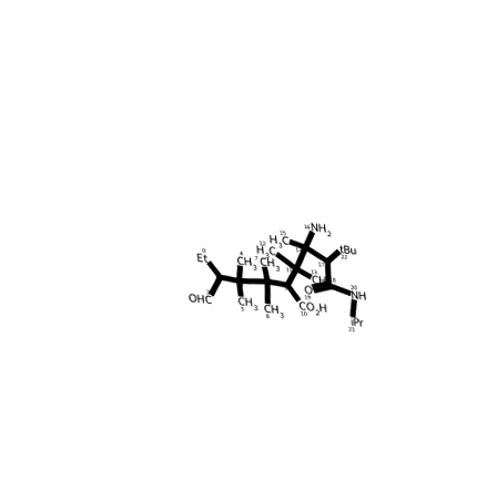 CCC(C=O)C(C)(C)C(C)(C)C(C(=O)O)C(C)(C)C(C)(N)C(C(=O)NC(C)C)C(C)(C)C